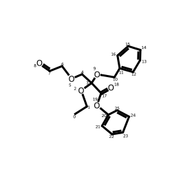 CCOC(COCC=O)(OCc1ccccc1)C(=O)Oc1ccccc1